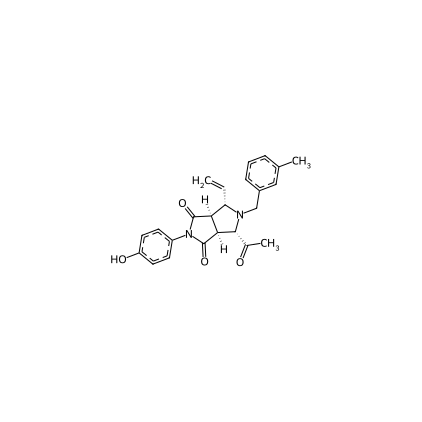 C=C[C@H]1[C@@H]2C(=O)N(c3ccc(O)cc3)C(=O)[C@@H]2[C@@H](C(C)=O)N1Cc1cccc(C)c1